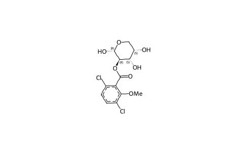 COc1c(Cl)ccc(Cl)c1C(=O)O[C@@H]1[C@@H](O)[C@@H](O)CO[C@H]1O